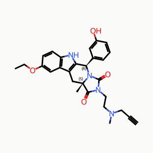 C#CCN(C)CCN1C(=O)N2[C@H](c3cccc(O)c3)c3[nH]c4ccc(OCC)cc4c3C[C@@]2(C)C1=O